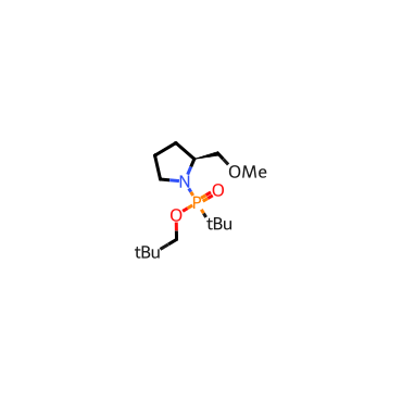 COC[C@@H]1CCCN1P(=O)(OCC(C)(C)C)C(C)(C)C